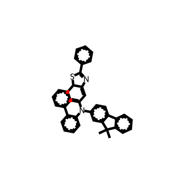 CC1(C)c2ccccc2-c2ccc(N(C3=CCC4SC(c5ccccc5)=NC4=C3)c3ccccc3-c3ccccc3)cc21